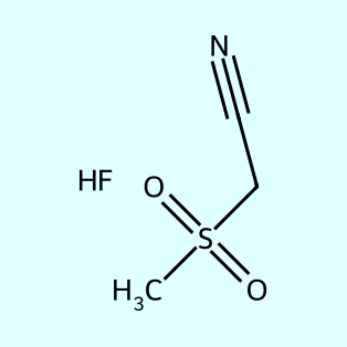 CS(=O)(=O)CC#N.F